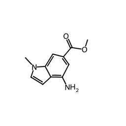 COC(=O)c1cc(N)c2ccn(C)c2c1